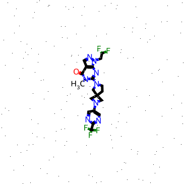 Cn1c(N2CCC3(CN(c4cnc(C(F)(F)F)nc4)C3)C2)nc2c(cnn2CC(F)F)c1=O